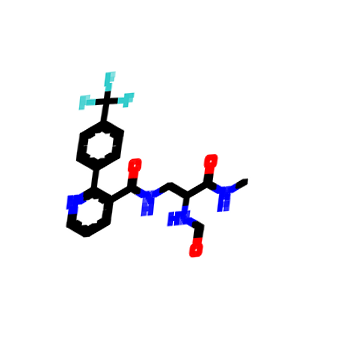 CNC(=O)C(CNC(=O)c1cccnc1-c1ccc(C(F)(F)F)cc1)NC=O